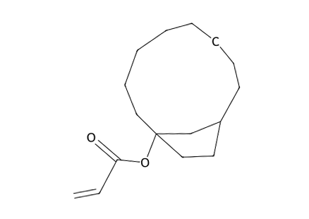 C=CC(=O)OC12CCCCCCCCC(CC1)C2